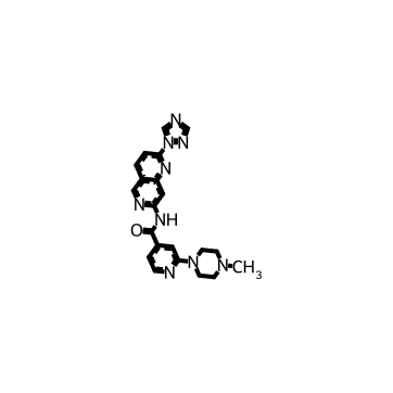 CN1CCN(c2cc(C(=O)Nc3cc4nc(-n5cncn5)ccc4cn3)ccn2)CC1